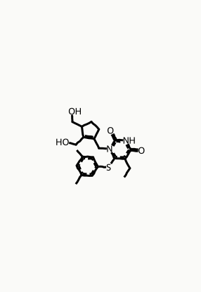 CCc1c(Sc2cc(C)cc(C)c2)n(CC2=C(CO)C(CO)CC2)c(=O)[nH]c1=O